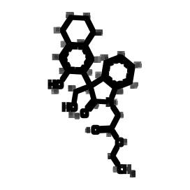 CCOC(=O)CN1C(=O)C(CO)(c2cc3c(cc2O)CCCC3)c2ccccc21